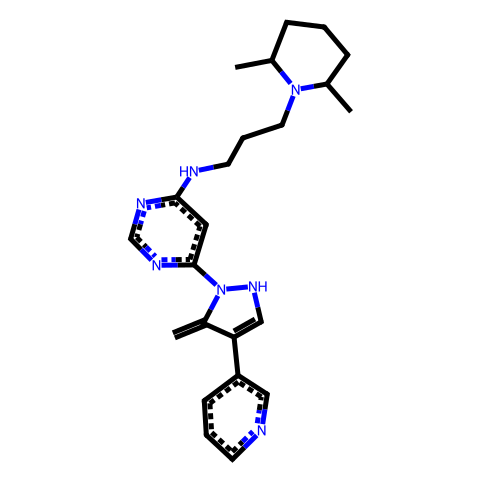 C=C1C(c2cccnc2)=CNN1c1cc(NCCCN2C(C)CCCC2C)ncn1